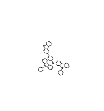 c1ccc(-n2c3ccccc3c3ccc(N(c4ccc(-c5ccc6oc7ccccc7c6c5)cc4)c4cccc5c4c4ccccc4n5-c4ccccc4)cc32)cc1